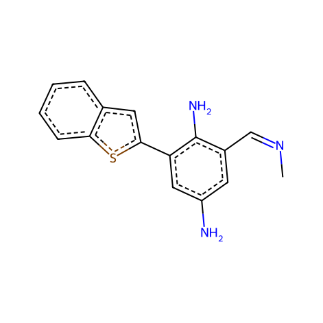 C/N=C\c1cc(N)cc(-c2cc3ccccc3s2)c1N